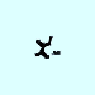 CCC(=O)C(C)=O.[NaH]